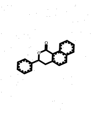 O=C1OC(c2ccccc2)Cc2ccc3ccccc3c21